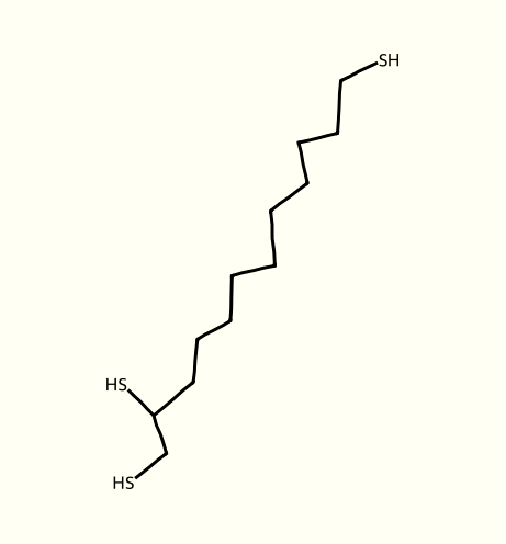 SCCCCCCCCCCC(S)CS